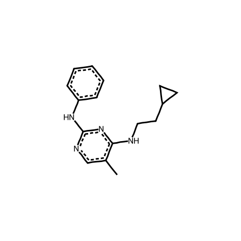 Cc1cnc(Nc2ccccc2)nc1NCCC1CC1